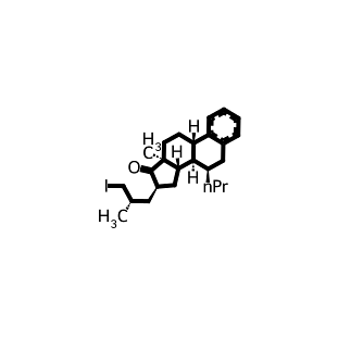 CCC[C@@H]1Cc2ccccc2[C@H]2CC[C@]3(C)C(=O)[C@H](C[C@H](C)CI)C[C@H]3[C@H]12